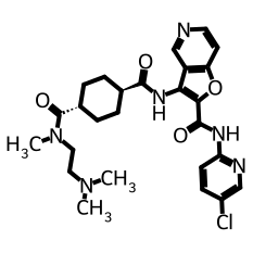 CN(C)CCN(C)C(=O)[C@H]1CC[C@H](C(=O)Nc2c(C(=O)Nc3ccc(Cl)cn3)oc3ccncc23)CC1